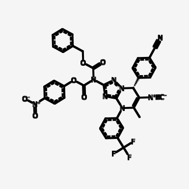 [C-]#[N+]C1=C(C)N(c2cccc(C(F)(F)F)c2)c2nc(N(C(=O)OCc3ccccc3)C(=O)Oc3ccc([N+](=O)[O-])cc3)nn2[C@@H]1c1ccc(C#N)cc1